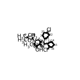 CC(C)N(Cc1c(C(=O)O)nc(-c2ccccc2Cl)n1-c1ccc(Cl)cc1)C(=O)OC(C)(C)C